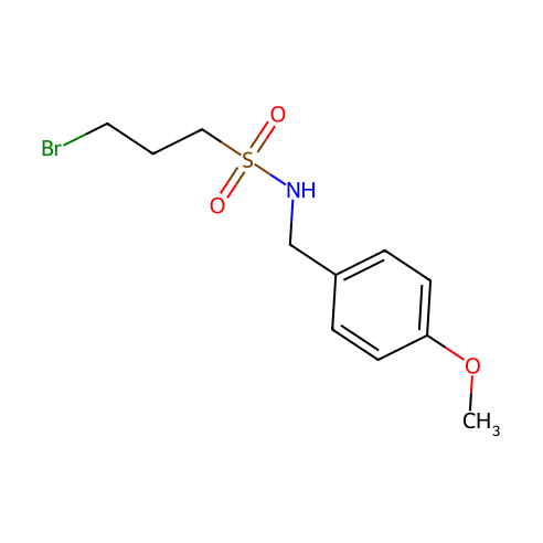 COc1ccc(CNS(=O)(=O)CCCBr)cc1